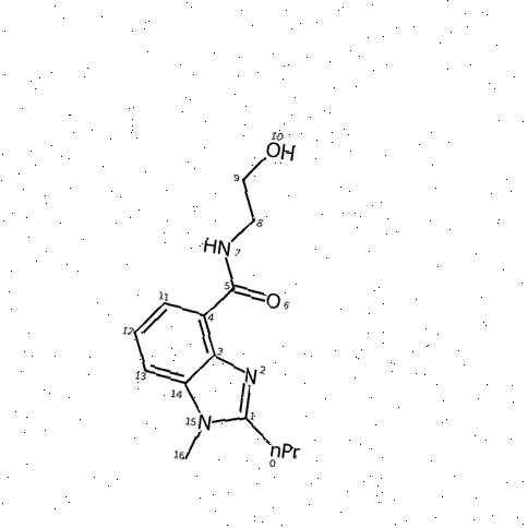 CCCc1nc2c(C(=O)NCCO)cccc2n1C